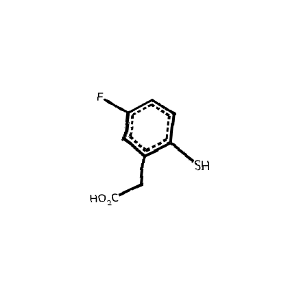 O=C(O)Cc1cc(F)ccc1S